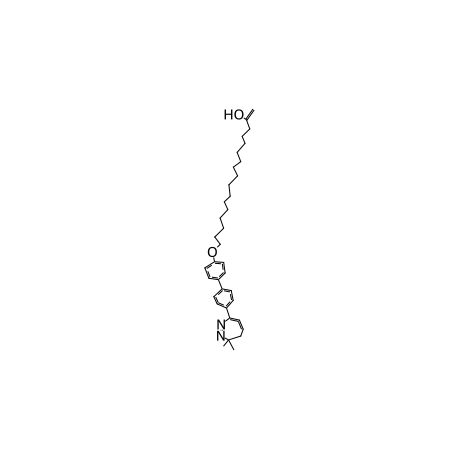 C=C(O)CCCCCCCCCCCCCCCOc1ccc(-c2ccc(C3=C=CCC(C)(C)N=N3)cc2)cc1